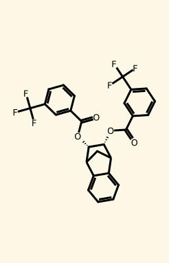 O=C(O[C@@H]1C2CC(c3ccccc32)[C@@H]1OC(=O)c1cccc(C(F)(F)F)c1)c1cccc(C(F)(F)F)c1